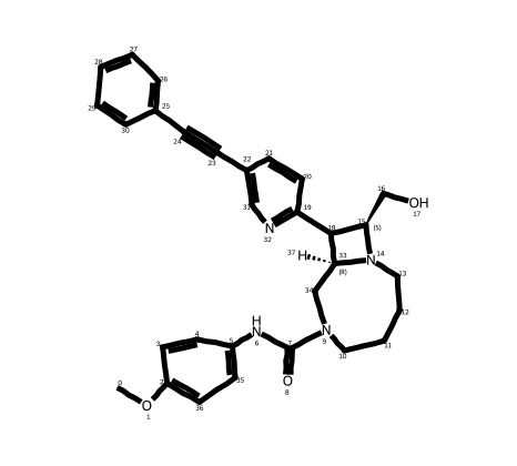 COc1ccc(NC(=O)N2CCCCN3[C@H](CO)C(c4ccc(C#Cc5ccccc5)cn4)[C@@H]3C2)cc1